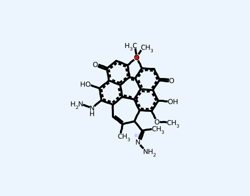 COc1c(O)c2c(=O)cc(OC)c3c4c(OC)cc(=O)c5c(O)c(NN)c6c(c(c1C(/C(C)=N/N)C(C)=C6)c23)c54